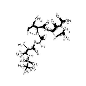 CCC(C)[C@H](OC(=O)[C@H](C)OC(=O)[C@@H](N)C(C)O[Si](C)(C)C(C)(C)C)C(=O)N[C@@H](CC(C)C)C(=O)CC(=O)O